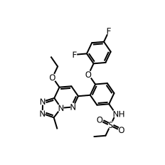 CCOc1cc(-c2cc(NS(=O)(=O)CC)ccc2Oc2ccc(F)cc2F)nn2c(C)nnc12